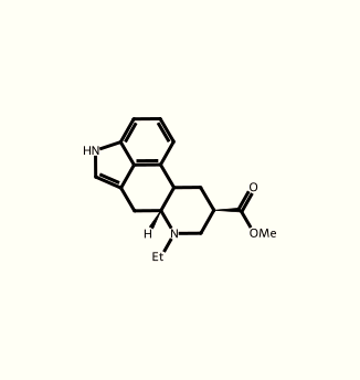 CCN1C[C@H](C(=O)OC)CC2c3cccc4[nH]cc(c34)C[C@H]21